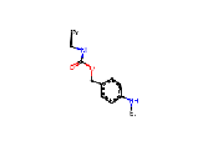 CCNc1ccc(COC(=O)NCC(C)C)cc1